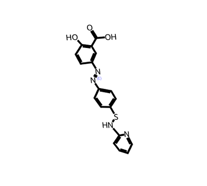 O=C(O)c1cc(/N=N/c2ccc(SNc3ccccn3)cc2)ccc1O